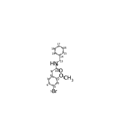 COc1cc(Br)ccc1CC(=O)NCc1ccccc1